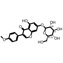 COc1ccc(-c2coc3cc(OC4O[C@H](CO)[C@@H](O)[C@H](O)[C@H]4O)cc(O)c3c2=O)cc1